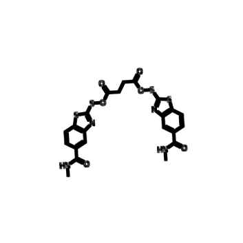 CNC(=O)c1ccc2sc(SOC(=O)CCC(=O)OSc3nc4cc(C(=O)NC)ccc4s3)nc2c1